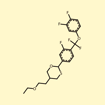 CCOCCC1COC(c2ccc(C(F)(F)Oc3ccc(F)c(F)c3)c(F)c2)SC1